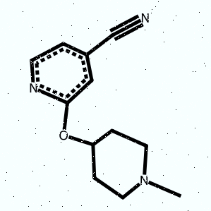 CN1CCC(Oc2cc(C#N)ccn2)CC1